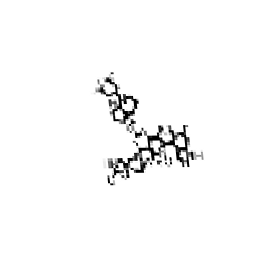 COc1nc(-c2c(Cl)c(C)cc3[nH]ncc23)c(F)c2nc(OC[C@]34CCC[C@H]3N(C3C[C@@H](C)O[C@@H](C)C3)CCC4)nc(N3CCC[C@]4(CNC(=O)O4)C3)c12